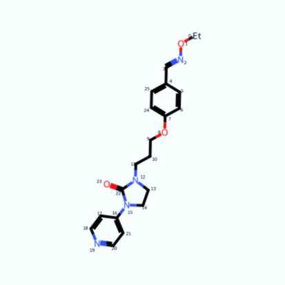 CCO/N=C/c1ccc(OCCCN2CCN(c3ccncc3)C2=O)cc1